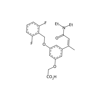 CCN(CC)C(=O)/C=C(/C)c1cc(OCC(=O)O)cc(OCc2c(F)cccc2F)c1